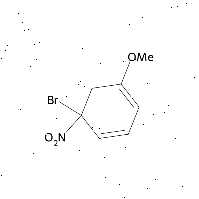 COC1=CC=CC(Br)([N+](=O)[O-])C1